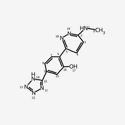 CNc1ccc(-c2ccc(-c3nnn[nH]3)cc2O)nn1